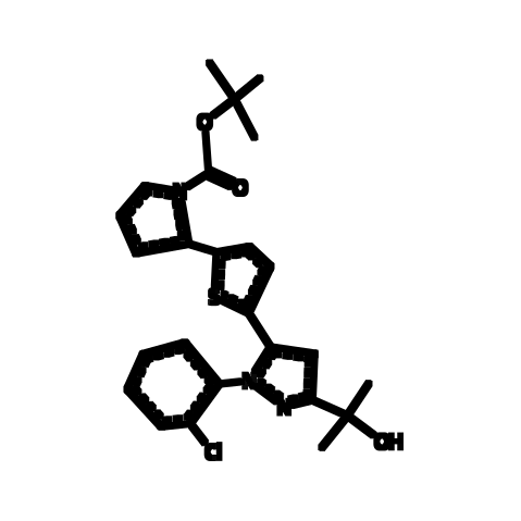 CC(C)(C)OC(=O)n1cccc1-c1ccc(-c2cc(C(C)(C)O)nn2-c2ccccc2Cl)s1